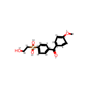 COc1ccc(C(=O)c2ccc(S(=O)(=O)CCO)cc2)cc1